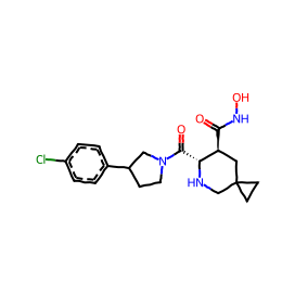 O=C(NO)[C@H]1CC2(CC2)CN[C@@H]1C(=O)N1CCC(c2ccc(Cl)cc2)C1